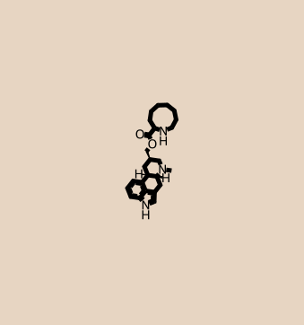 CN1C[C@H](COC(=O)C2CCCCCCCN2)C[C@@H]2c3cccc4[nH]cc(c34)C[C@H]21